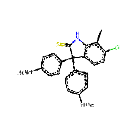 CC(=O)Nc1ccc(C2(c3ccc(NC(C)=O)cc3)C(=S)Nc3c2ccc(Cl)c3C)cc1